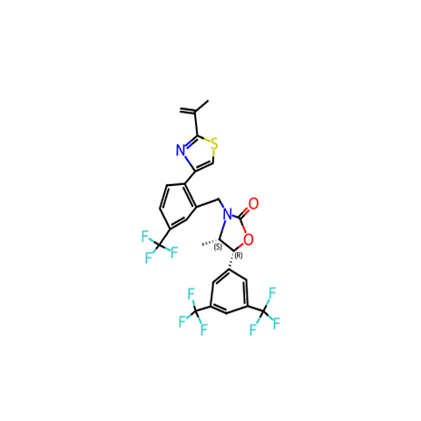 C=C(C)c1nc(-c2ccc(C(F)(F)F)cc2CN2C(=O)O[C@H](c3cc(C(F)(F)F)cc(C(F)(F)F)c3)[C@@H]2C)cs1